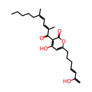 C=C(O)/C=C/CCCc1cc(O)c(C(=O)/C(C)=C/C=C(/C)CCCCC)c(=O)o1